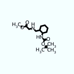 COC(=O)CNCC1CCCCC1NC(=O)OC(C)(C)C